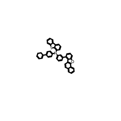 C1=CCCC(c2ccc(N(c3cccc(-c4cccc5oc6c7ccccc7ccc6c45)c3)c3cccc4c3sc3ccccc34)cc2)=C1